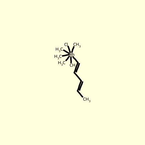 CC=CC=[CH][Rh]([CH3])([CH3])([CH3])([CH3])([CH3])[Cl]